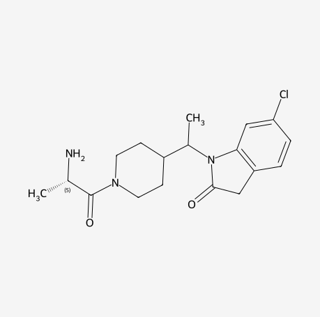 CC(C1CCN(C(=O)[C@H](C)N)CC1)N1C(=O)Cc2ccc(Cl)cc21